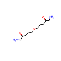 NCC(=O)CCCOCCCC(=O)CN